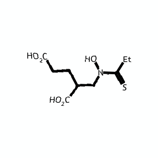 CCC(=S)N(O)CC(CCC(=O)O)C(=O)O